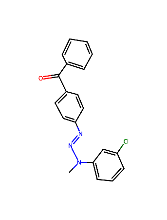 CN(N=Nc1ccc(C(=O)c2ccccc2)cc1)c1cccc(Cl)c1